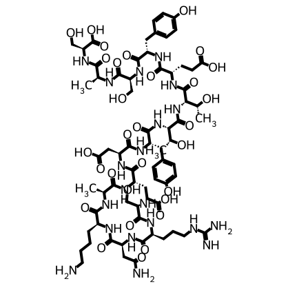 C[C@H](NC(=O)[C@H](CO)NC(=O)[C@H](Cc1ccc(O)cc1)NC(=O)[C@H](CCC(=O)O)NC(=O)[C@@H](NC(=O)[C@@H](NC(=O)[C@H](Cc1ccc(O)cc1)NC(=O)[C@H](CC(=O)O)NC(=O)[C@H](CCC(=O)O)NC(=O)[C@H](C)NC(=O)[C@H](CCCCN)NC(=O)[C@H](CC(N)=O)NC(=O)[C@H](CCCNC(=N)N)NC(=O)[C@@H](N)CO)[C@@H](C)O)[C@@H](C)O)C(=O)N[C@@H](CO)C(=O)O